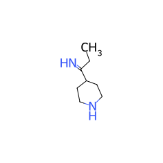 CCC(=N)C1CCNCC1